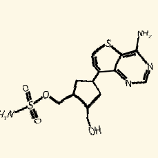 Nc1ncnc2c(C3CC(O)C(COS(N)(=O)=O)C3)csc12